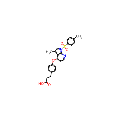 Cc1ccc(S(=O)(=O)n2cc(C)c3c(Oc4ccc(CCC(=O)O)cc4)ccnc32)cc1